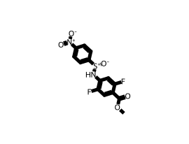 COC(=O)c1cc(F)c(N[S+]([O-])c2ccc([N+](=O)[O-])cc2)cc1F